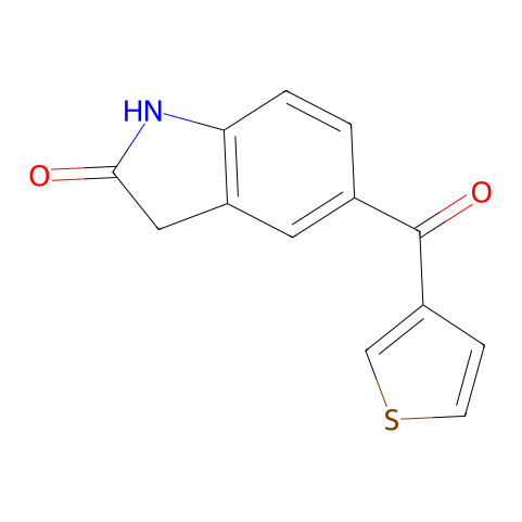 O=C1Cc2cc(C(=O)c3ccsc3)ccc2N1